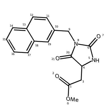 COC(=O)CC1NC(=O)N(Cc2ccc3ccccc3c2)C1=O